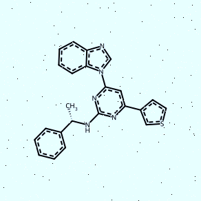 C[C@H](Nc1nc(-c2ccsc2)cc(-n2cnc3ccccc32)n1)c1ccccc1